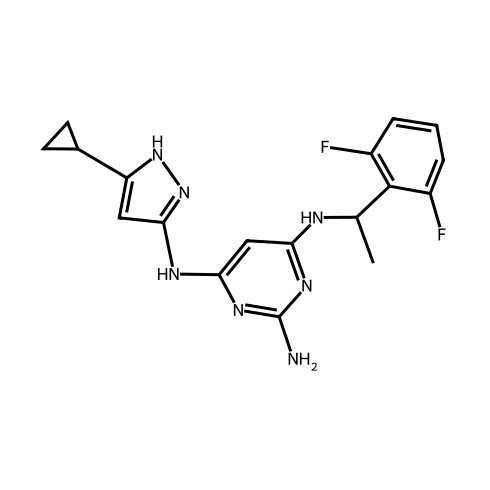 CC(Nc1cc(Nc2cc(C3CC3)[nH]n2)nc(N)n1)c1c(F)cccc1F